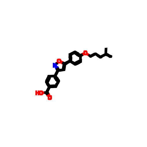 CC(C)CCCOc1ccc(-c2cc(-c3ccc(C(=O)O)cc3)no2)cc1